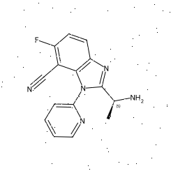 C[C@H](N)c1nc2ccc(F)c(C#N)c2n1-c1ccccn1